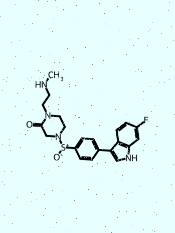 CNCCN1CCN([S+]([O-])c2ccc(-c3c[nH]c4cc(F)ccc34)cc2)CC1=O